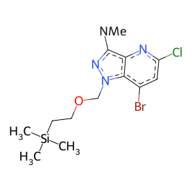 CNc1nn(COCC[Si](C)(C)C)c2c(Br)cc(Cl)nc12